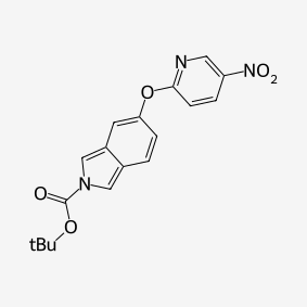 CC(C)(C)OC(=O)n1cc2ccc(Oc3ccc([N+](=O)[O-])cn3)cc2c1